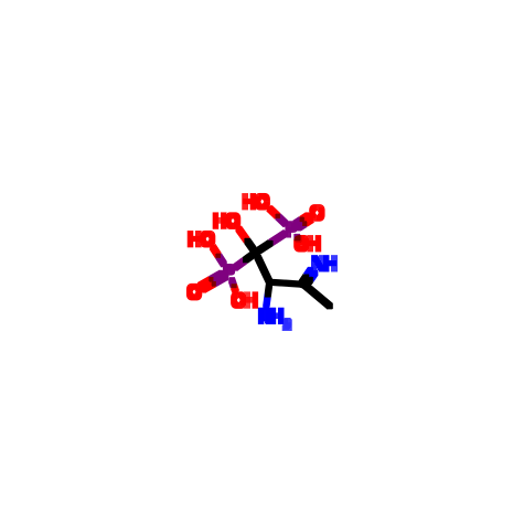 CC(=N)C(N)C(O)(P(=O)(O)O)P(=O)(O)O